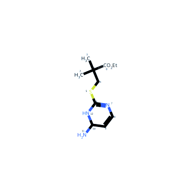 CCOC(=O)C(C)(C)CSC1=NC=CC(N)N1